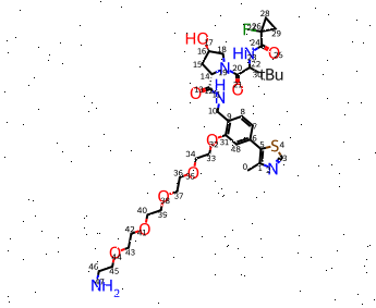 Cc1ncsc1-c1ccc(CNC(=O)[C@@H]2C[C@@H](O)CN2C(=O)C(NC(=O)C2(F)CC2)C(C)(C)C)c(OCCOCCOCCOCCOCCN)c1